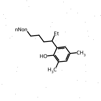 CCCCCCCCCCCCC(CC)c1cc(C)cc(C)c1O